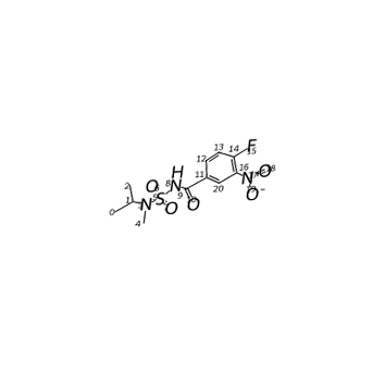 CC(C)N(C)S(=O)(=O)NC(=O)c1ccc(F)c([N+](=O)[O-])c1